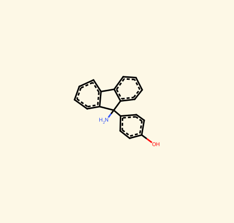 NC1(c2ccc(O)cc2)c2ccccc2-c2ccccc21